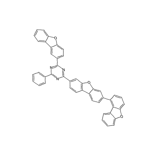 c1ccc(-c2nc(-c3ccc4c(c3)oc3cc(-c5cccc6oc7ccccc7c56)ccc34)nc(-c3ccc4oc5ccccc5c4c3)n2)cc1